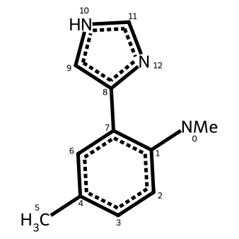 CNc1ccc(C)cc1-c1c[nH]cn1